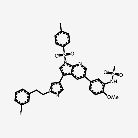 COc1ccc(-c2cnc3c(c2)c(-c2cnn(CCc4cccc(F)c4)c2)cn3S(=O)(=O)c2ccc(C)cc2)cc1NS(C)(=O)=O